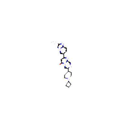 Cc1cn2cc(-c3cc(=O)n4cc(C5CCN(C6CCC6)CC5)ncc4n3)ccc2n1